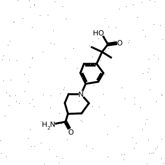 CC(C)(C(=O)O)c1ccc(N2CCC(C(N)=O)CC2)cc1